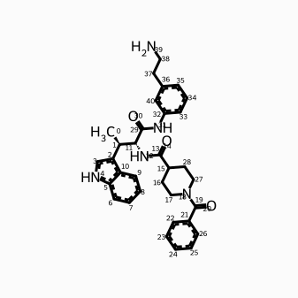 C[C@H](c1c[nH]c2ccccc12)[C@@H](NC(=O)C1CCN(C(=O)c2ccccc2)CC1)C(=O)Nc1cccc(CCN)c1